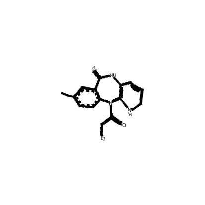 Cc1ccc2c(c1)C(=O)NC1=C(NCC=C1)N2C(=O)CCl